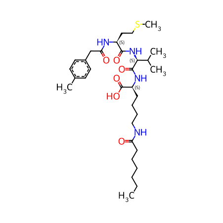 CCCCCCC(=O)NCCCC[C@H](NC(=O)[C@@H](NC(=O)[C@H](CCSC)NC(=O)Cc1ccc(C)cc1)C(C)C)C(=O)O